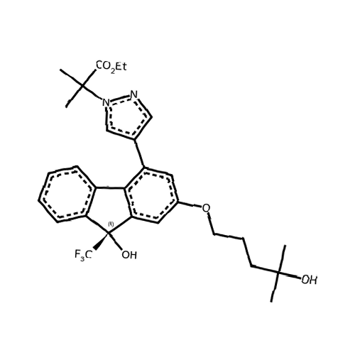 CCOC(=O)C(C)(C)n1cc(-c2cc(OCCCC(C)(C)O)cc3c2-c2ccccc2[C@]3(O)C(F)(F)F)cn1